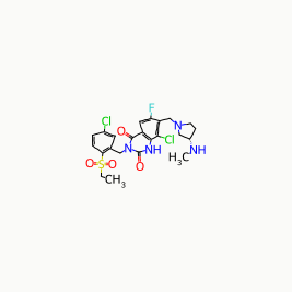 CCS(=O)(=O)c1ccc(Cl)cc1Cn1c(=O)[nH]c2c(Cl)c(CN3CC[C@H](NC)C3)c(F)cc2c1=O